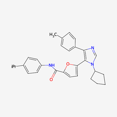 Cc1ccc(-c2ncn(C3CCCC3)c2-c2ccc(C(=O)Nc3ccc(C(C)C)cc3)o2)cc1